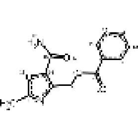 Cc1nc(COC(=O)c2ccccc2)c(C(N)=O)o1